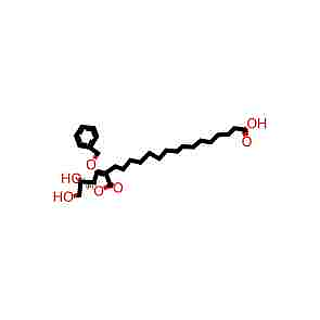 O=C(O)CCCCCCCCCCCCCCCC1=C(OCc2ccccc2)[C@@H]([C@@H](O)CO)OC1=O